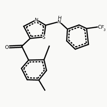 Cc1ccc(C(=O)c2cnc(Nc3cccc(C(F)(F)F)c3)s2)c(C)c1